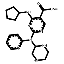 COC(=O)c1cnc(N(c2ccccn2)C2CNCCN2)nc1NC1CCCC1